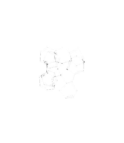 CC1(c2ccccc2)c2ccccc2Oc2cccc(-c3ccccc3C3(c4ccccc4)c4ccccc4-c4ccccc43)c21